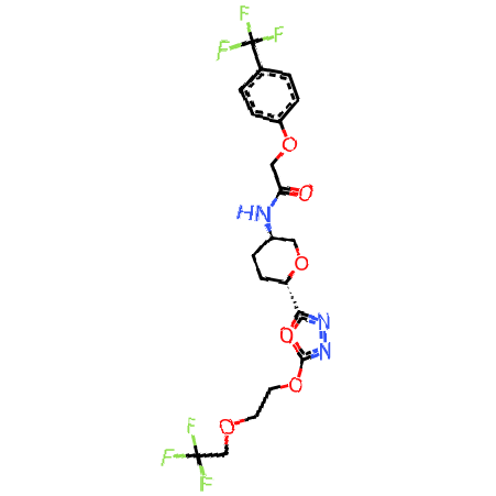 O=C(COc1ccc(C(F)(F)F)cc1)N[C@@H]1CC[C@@H](c2nnc(OCCOCC(F)(F)F)o2)OC1